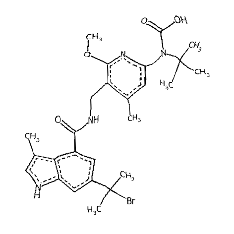 COc1nc(N(C(=O)O)C(C)(C)C)cc(C)c1CNC(=O)c1cc(C(C)(C)Br)cc2[nH]cc(C)c12